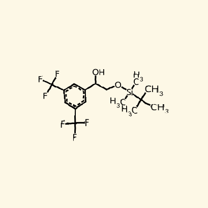 CC(C)(C)[Si](C)(C)OCC(O)c1cc(C(F)(F)F)cc(C(F)(F)F)c1